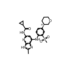 Cc1nc2c(Nc3ccc([C@H]4CCCOC4)cc3S(C)(=O)=O)cc(NC(=O)C3CC3)nc2[nH]1